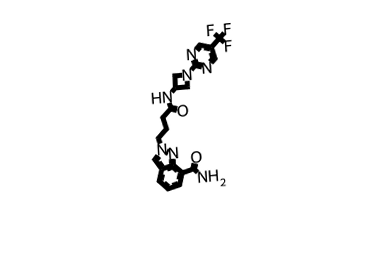 NC(=O)c1cccc2cn(CCCC(=O)NC3CN(c4ncc(C(F)(F)F)cn4)C3)nc12